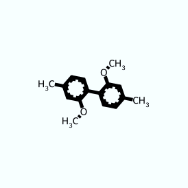 COc1cc(C)ccc1-c1ccc(C)cc1OC